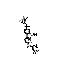 Cc1n[nH]cc1CC(C)(C)c1ccc(-c2ccc(N(C)C3CC(C)(C)NC(C)(C)C3)nn2)c(O)c1